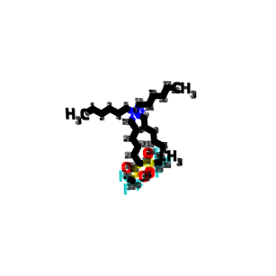 CCCCCC[N+](CCCCCC)(CCCCCC)CCCCCC(S(=O)(=O)C(F)(F)F)S(=O)(=O)C(F)(F)F